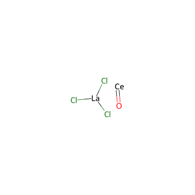 [Cl][La]([Cl])[Cl].[O]=[Ce]